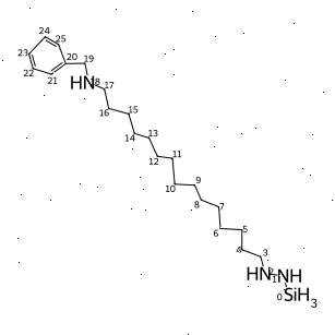 [SiH3]NNCCCCCCCCCCCCCCCNCc1ccccc1